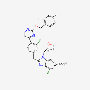 Cc1ccc(COc2nccc(-c3ccc(Cc4nc5c(F)cc(C(=O)O)cc5n4C[C@@H]4CCO4)cc3F)n2)c(F)c1